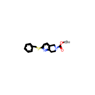 CC(C)(C)OC(=O)N1CCc2nc(SCc3ccccc3)ccc2C1